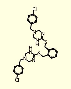 Clc1ccc(CN2CN=C(SCc3ccccc3CSC3=NCN(Cc4ccc(Cl)cc4)CN3)NC2)cc1